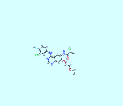 C=C(Cl)C(=O)Nc1cc2c(Nc3ccc(F)c(Cl)c3)ncnc2cc1OCCOCC